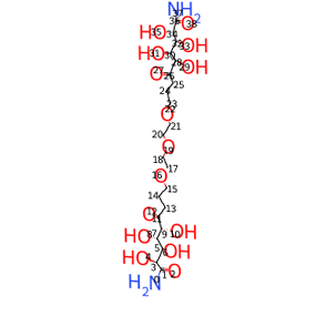 NC(=O)[C@@H](O)[C@@H](O)[C@H](O)[C@@H](O)C(=O)CCCOCCOCCOCCCC(=O)[C@H](O)[C@@H](O)[C@H](O)[C@H](O)C(N)=O